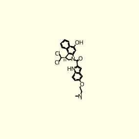 CN(C)CCOc1ccc2[nH]c(C(=O)N3C[C@@H](C(Cl)Cl)c4c3cc(O)c3ccccc43)cc2c1